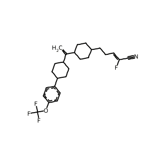 C=C(C1CCC(CCC=C(F)C#N)CC1)C1CCC(c2ccc(OC(F)(F)F)cc2)CC1